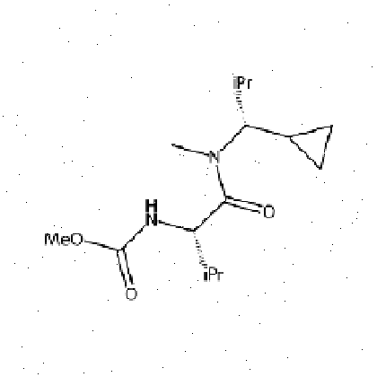 COC(=O)N[C@H](C(=O)N(C)[C@H](C(C)C)C1CC1)C(C)C